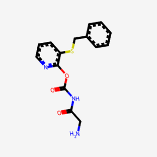 NCC(=O)NC(=O)Oc1ncccc1SCc1ccccc1